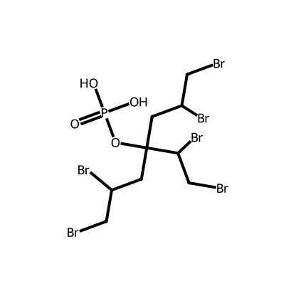 O=P(O)(O)OC(CC(Br)CBr)(CC(Br)CBr)C(Br)CBr